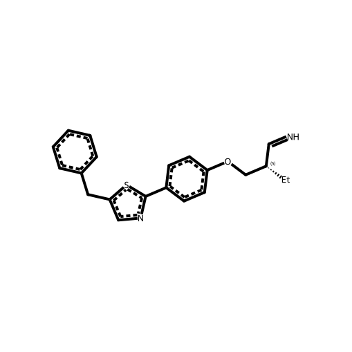 CC[C@@H](C=N)COc1ccc(-c2ncc(Cc3ccccc3)s2)cc1